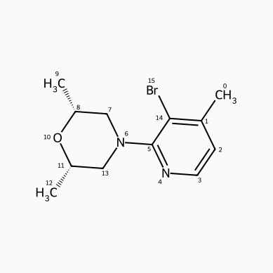 Cc1ccnc(N2C[C@@H](C)O[C@@H](C)C2)c1Br